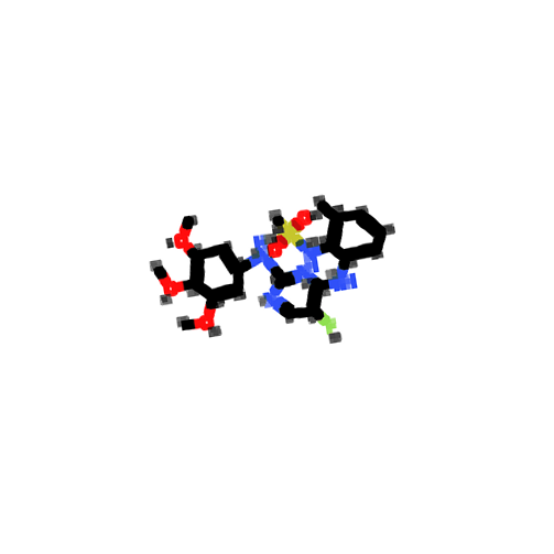 COc1cc(Nc2ncc(F)c(Nc3cccc(C)c3NS(C)(=O)=O)n2)cc(OC)c1OC